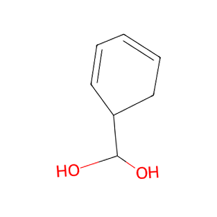 OC(O)C1C=CC=CC1